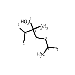 CC(N)CCC(N)(C(=O)O)C(F)F